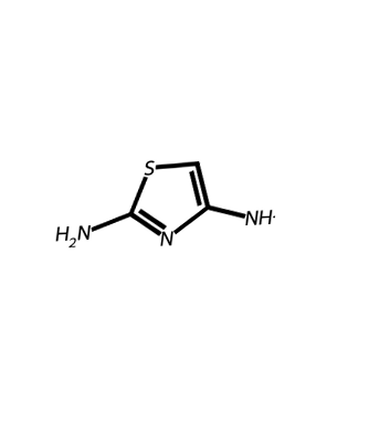 [NH]c1csc(N)n1